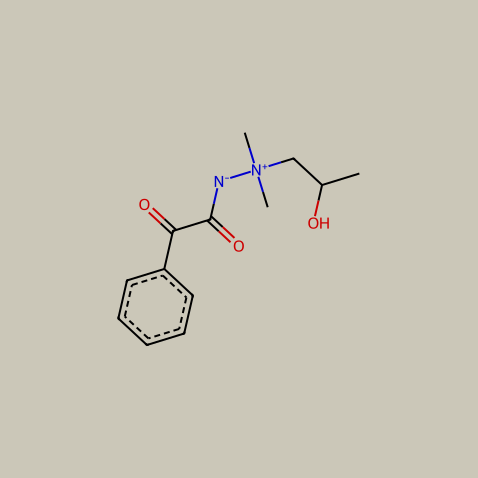 CC(O)C[N+](C)(C)[N-]C(=O)C(=O)c1ccccc1